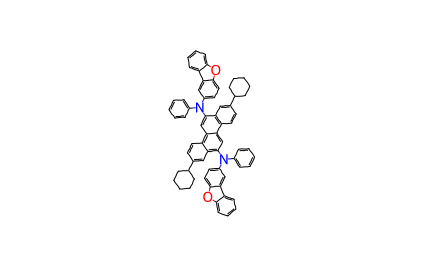 c1ccc(N(c2ccc3oc4ccccc4c3c2)c2cc3c4ccc(C5CCCCC5)cc4c(N(c4ccccc4)c4ccc5oc6ccccc6c5c4)cc3c3ccc(C4CCCCC4)cc23)cc1